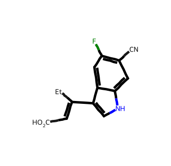 CC/C(=C\C(=O)O)c1c[nH]c2cc(C#N)c(F)cc12